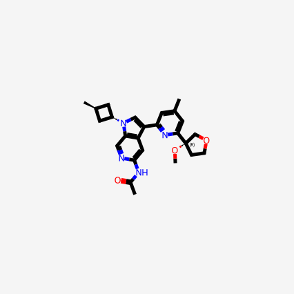 CO[C@@]1(c2cc(C)cc(-c3cn([C@H]4C[C@H](C)C4)c4cnc(NC(C)=O)cc34)n2)CCOC1